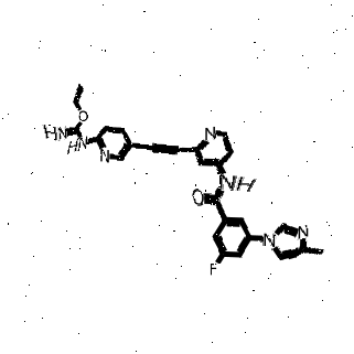 CCOC(=N)Nc1ccc(C#Cc2cc(NC(=O)c3cc(F)cc(-n4cnc(C)c4)c3)ccn2)cn1